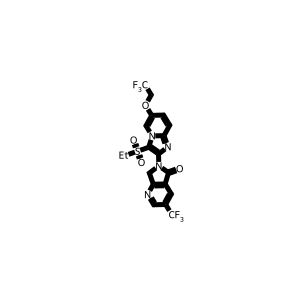 CCS(=O)(=O)c1c(N2Cc3ncc(C(F)(F)F)cc3C2=O)nc2ccc(OCC(F)(F)F)cn12